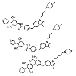 Cc1c(C)n(CCCCCN2CCN(C)CC2)c2ccc(Cc3ccc(C(=O)Nc4cc(O)c(-c5ccncc5)c(O)c4)cc3)cc12.Cc1c(C)n(CCCCCN2CCN(C)CC2)c2ccc(Cc3ccc(C(=O)Nc4cc(O)c(-n5ccnc5)c(O)c4)cc3)cc12.Cc1c(C)n(CCCCCN2CCN(C)CC2)c2ccc(Cc3ccc(C(N)=O)c(-c4cc(O)c(-c5ccccc5)c(O)c4)c3)cc12